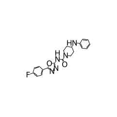 O=C(Nc1nnc(-c2ccc(F)cc2)o1)N1CCC(Nc2ccccc2)CC1